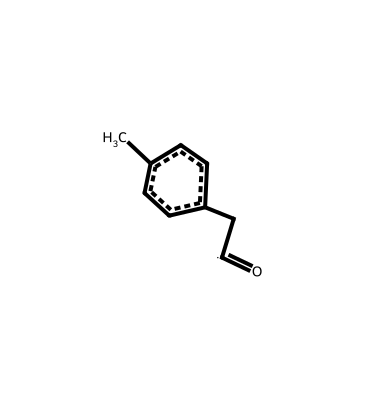 Cc1ccc(C[C]=O)cc1